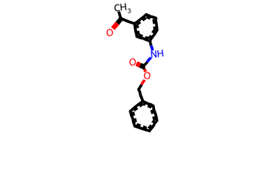 CC(=O)c1cccc(NC(=O)OCc2ccccc2)c1